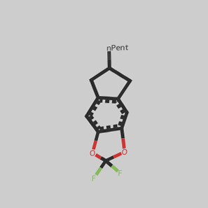 CCCCCC1Cc2cc3c(cc2C1)OC(F)(F)O3